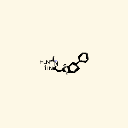 C/C(N)=N/C(=N)Cc1nc2ccc(-c3ccccc3)cc2s1